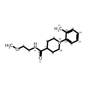 COCCNC(=O)C1CCN(c2ccccc2C)CC1